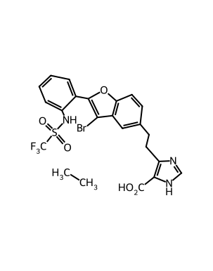 CC.O=C(O)c1[nH]cnc1CCc1ccc2oc(-c3ccccc3NS(=O)(=O)C(F)(F)F)c(Br)c2c1